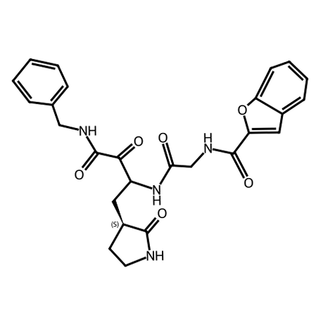 O=C(CNC(=O)c1cc2ccccc2o1)NC(C[C@@H]1CCNC1=O)C(=O)C(=O)NCc1ccccc1